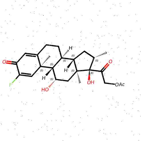 CC(=O)OCC(=O)[C@@]1(O)[C@@H](C)C[C@H]2[C@@H]3CCC4=CC(=O)C(F)=C[C@]4(C)[C@H]3[C@@H](O)C[C@@]21C